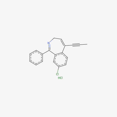 CC#CC1=CCN=C(c2ccccc2)c2cc(Cl)ccc21.Cl